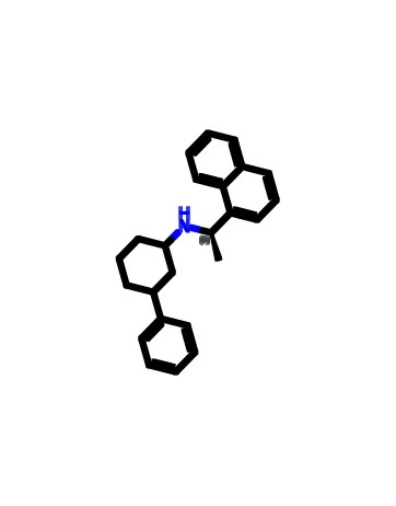 C[C@@H](NC1CCCC(c2ccccc2)C1)c1cccc2ccccc12